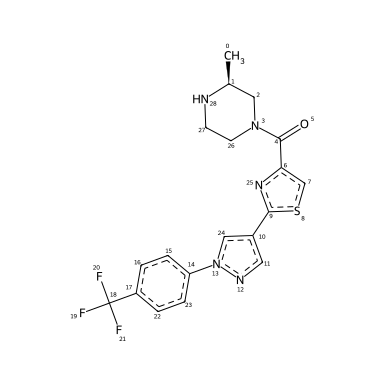 C[C@H]1CN(C(=O)c2csc(-c3cnn(-c4ccc(C(F)(F)F)cc4)c3)n2)CCN1